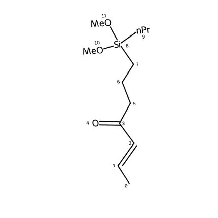 CC=CC(=O)CCC[Si](CCC)(OC)OC